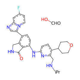 CC(C)NCc1nc(Nc2ccc(-c3cnc4cc(F)ccn34)c3c2C(=O)NC3)ccc1C1CCOCC1.O=CO